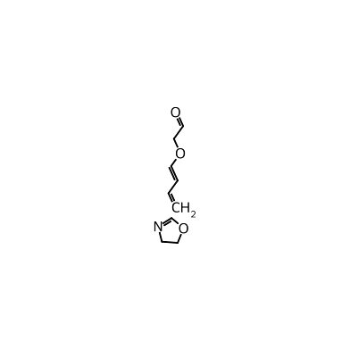 C1=NCCO1.C=CC=COCC=O